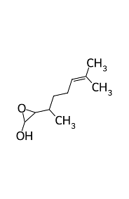 CC(C)=CCCC(C)C1OC1O